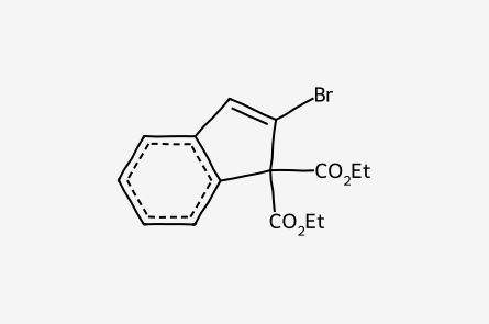 CCOC(=O)C1(C(=O)OCC)C(Br)=Cc2ccccc21